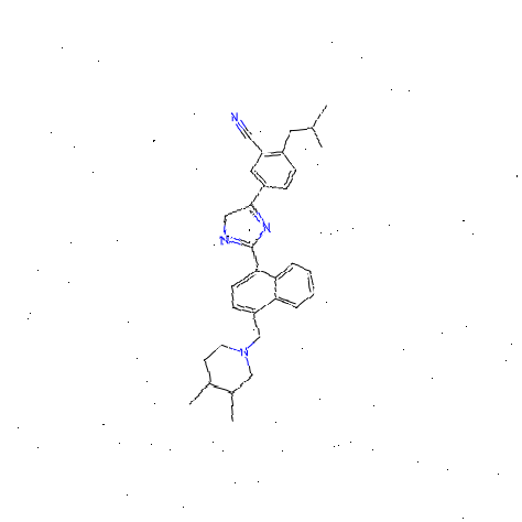 CC(C)Cc1ccc(C2=NC(c3ccc(CN4CCC(C)C(C)C4)c4ccccc34)=NC2)cc1C#N